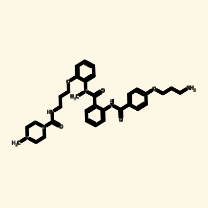 CN1CCN(C(=O)NCCCOc2ccccc2N(C)C(=O)c2ccccc2NC(=O)c2ccc(OCCCN)cc2)CC1